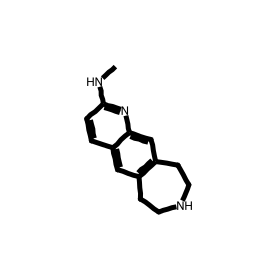 CNc1ccc2cc3c(cc2n1)CCNCC3